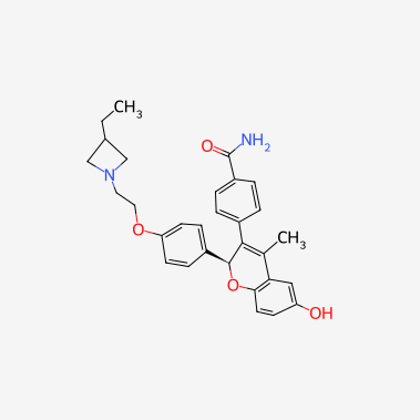 CCC1CN(CCOc2ccc([C@@H]3Oc4ccc(O)cc4C(C)=C3c3ccc(C(N)=O)cc3)cc2)C1